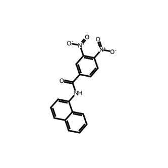 O=C(Nc1cccc2ccccc12)c1ccc([N+](=O)[O-])c([N+](=O)[O-])c1